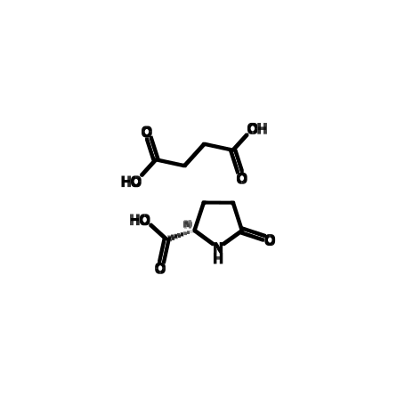 O=C(O)CCC(=O)O.O=C1CC[C@@H](C(=O)O)N1